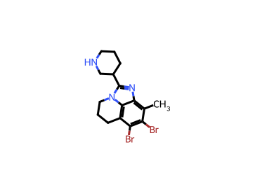 Cc1c(Br)c(Br)c2c3c1nc(C1CCCNC1)n3CCC2